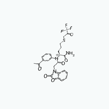 CC(=O)c1cccc(N(C(=O)Cn2c(=O)oc3ccccc32)[C@@H](CCCSCC(=O)C(F)(F)F)C(N)=O)c1